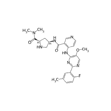 COc1cnc(-c2cc(C)ccc2F)nc1Nc1ccncc1C(=O)N[C@H]1CN[C@@H](C(=O)N(C)C)C1